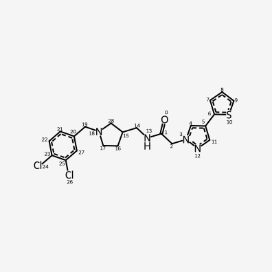 O=C(Cn1cc(-c2cccs2)cn1)NCC1CCN(Cc2ccc(Cl)c(Cl)c2)C1